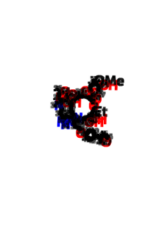 CC[C@H]1OC(=O)[C@H](C)[C@@H](O[C@H]2C[C@@](C)(OC)[C@@H](O)[C@H](C)O2)[C@H](C)[C@@H](O[C@@H]2O[C@H](C)C[C@H](N(C)CCc3cn(CCCOc4ccc(-c5ccoc5)cc4)nn3)[C@H]2O)[C@](C)(O)C[C@@H](C)CN(C)[C@H](C)[C@@H](O)[C@]1(C)O